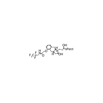 CCCCC[C@@H](O)CC[C@@H]1[C@H]2Cc3cccc(OCC(=O)NCC(F)(F)C(F)(F)F)c3C[C@H]2C[C@H]1O